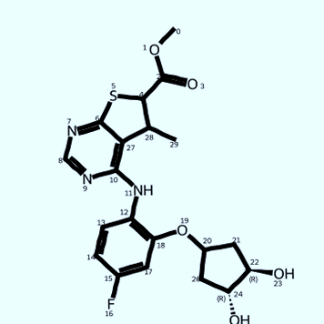 COC(=O)C1Sc2ncnc(Nc3ccc(F)cc3OC3C[C@@H](O)[C@H](O)C3)c2C1C